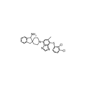 Cc1cc(N2CCC3(CC2)Cc2ccccc2C3N)n2ncnc2c1Sc1cccc(Cl)c1Cl